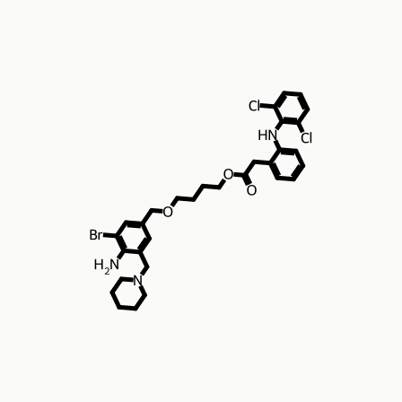 Nc1c(Br)cc(COCCCCOC(=O)Cc2ccccc2Nc2c(Cl)cccc2Cl)cc1CN1CCCCC1